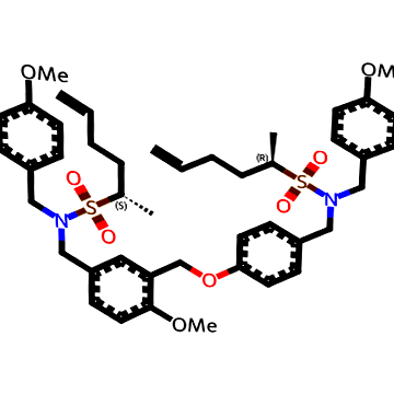 C=CCC[C@@H](C)S(=O)(=O)N(Cc1ccc(OC)cc1)Cc1ccc(OCc2cc(CN(Cc3ccc(OC)cc3)S(=O)(=O)[C@@H](C)CCC=C)ccc2OC)cc1